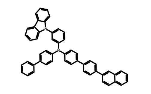 c1ccc(-c2ccc(N(c3ccc(-c4ccc(-c5ccc6ccccc6c5)cc4)cc3)c3cccc(-n4c5ccccc5c5ccccc54)c3)cc2)cc1